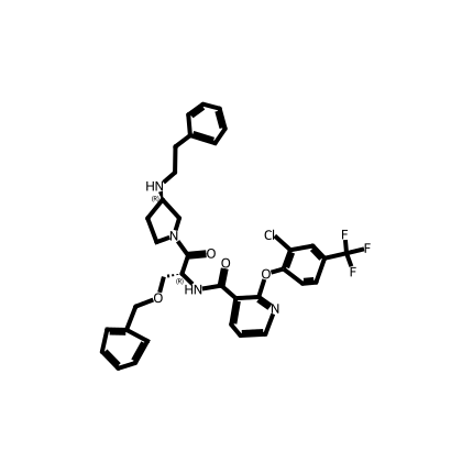 O=C(N[C@H](COCc1ccccc1)C(=O)N1CC[C@@H](NCCc2ccccc2)C1)c1cccnc1Oc1ccc(C(F)(F)F)cc1Cl